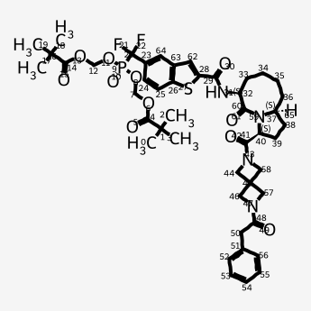 CC(C)(C)C(=O)OCOP(=O)(OCOC(=O)C(C)(C)C)C(F)(F)c1ccc2sc(C(=O)N[C@H]3CCCC[C@H]4CC[C@@H](C(=O)N5CC6(CN(C(=O)Cc7ccccc7)C6)C5)N4C3=O)cc2c1